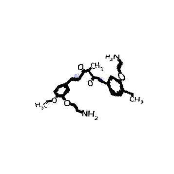 CCOc1ccc(/C=C/C(=O)C(C)C(=O)/C=C/c2ccc(CC)c(OCCN)c2)cc1OCCN